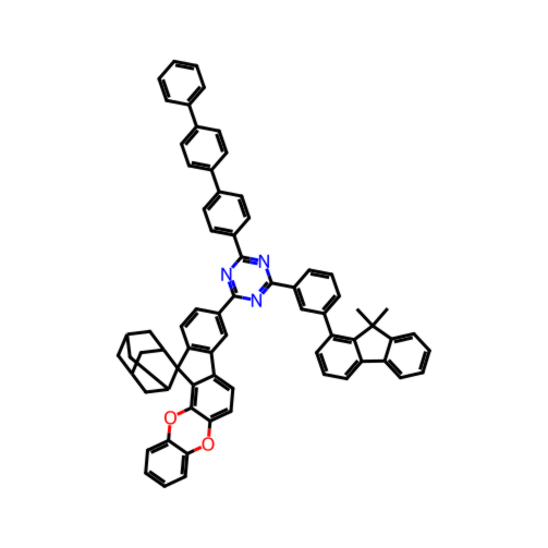 CC1(C)c2ccccc2-c2cccc(-c3cccc(-c4nc(-c5ccc(-c6ccc(-c7ccccc7)cc6)cc5)nc(-c5ccc6c(c5)-c5ccc7c(c5C65C6CC8CC(C6)CC5C8)Oc5ccccc5O7)n4)c3)c21